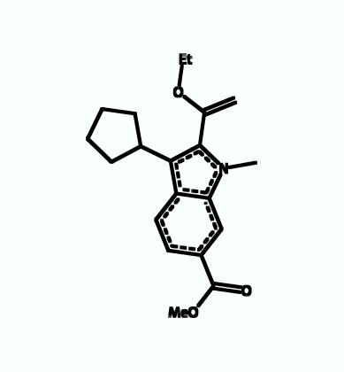 C=C(OCC)c1c(C2CCCC2)c2ccc(C(=O)OC)cc2n1C